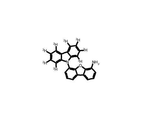 [2H]c1c([2H])c([2H])c2c(c1[2H])c1c([2H])c([2H])c([2H])c([2H])c1n2-c1cccc2c1oc1c(N)cccc12